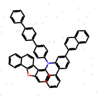 c1ccc(-c2ccc(-c3ccc(N(c4cc(-c5ccc6ccccc6c5)ccc4-c4ccccc4)c4cccc5oc6c7ccccc7ccc6c45)cc3)cc2)cc1